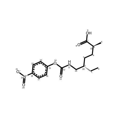 CC[C@@H](CC[C@H](C)C(=O)O)CNC(=O)Oc1ccc([N+](=O)[O-])cc1